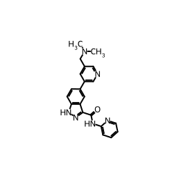 CN(C)Cc1cncc(-c2ccc3[nH]nc(C(=O)Nc4ccccn4)c3c2)c1